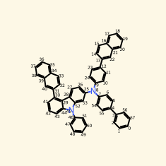 c1ccc(-c2ccc(N(c3ccc(-c4ccc5ccccc5c4)cc3)c3ccc4c5c(-c6ccc7ccccc7c6)cccc5n(-c5ccccc5)c4c3)cc2)cc1